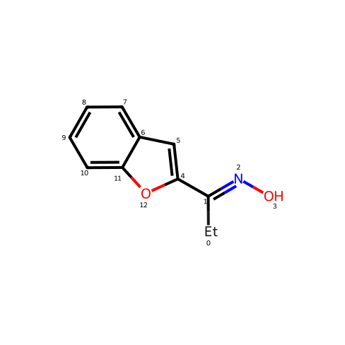 CCC(=NO)c1cc2ccccc2o1